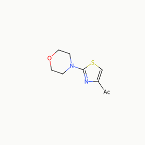 CC(=O)c1csc(N2CCOCC2)n1